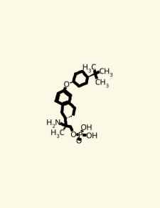 CC(C)(C)[C@H]1CC[C@H](Oc2ccc3c(c2)CC[C@H]([C@@](C)(N)COP(=O)(O)O)C3)CC1